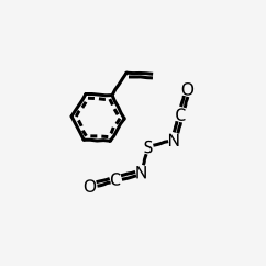 C=Cc1ccccc1.O=C=NSN=C=O